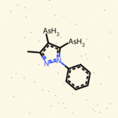 Cc1nn(-c2ccccc2)c([AsH2])c1[AsH2]